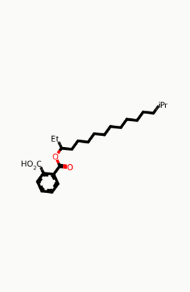 CCC(CCCCCCCCCCCC(C)C)OC(=O)c1ccccc1C(=O)O